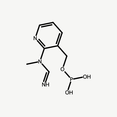 CN(C=N)c1ncccc1COP(O)O